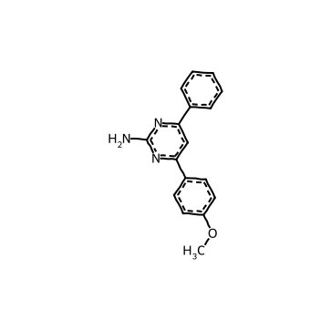 COc1ccc(-c2cc(-c3ccccc3)nc(N)n2)cc1